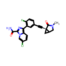 CN1CC2C[C@]2(C#Cc2ccc(F)c(-c3nc(C(N)=O)n4cc(Cl)ccc34)c2)C1=O